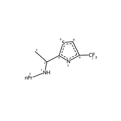 CCCNC(C)c1nc(C(F)(F)F)cs1